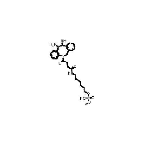 COP(=O)(O)OCCCCCCNC(=O)CCC(=O)N1Cc2ccccc2C(=N)C(N)c2ccccc21